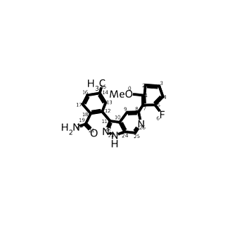 COc1cccc(F)c1-c1cc2c(-c3cc(C)ccc3C(N)=O)n[nH]c2cn1